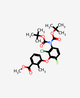 COC(=O)c1cccc(Oc2c(F)ccc(N(C(=O)OC(C)(C)C)C(=O)OC(C)(C)C)c2Cl)c1C